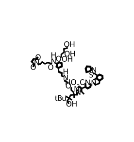 Cc1c(-c2ccc(N3CCc4cccc(-c5nc6ccccc6s5)c4C3)nc2C(=O)O)cnn1CC(C)(CCCOCCNC/C=C/c1ccc(OC(O)CC(O)CCO)c(NC(=O)CCCCN2C(=O)C=CC2=O)c1)CC(C)(CO)CC(C)(C)C